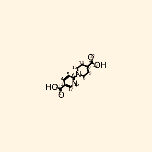 O=C(O)c1ccc(N2CCC(C(=O)O)CC2)nc1